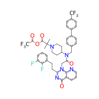 CC(C)(C(=O)OC(=O)C(F)(F)F)N1CCC(N(Cc2ccc(-c3ccc(C(F)(F)F)cc3)cc2)C(=O)Cn2c(CCc3cccc(F)c3F)nc(=O)c3cccnc32)CC1